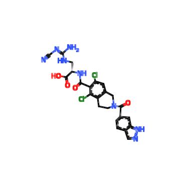 N#C/N=C(/N)NC[C@H](NC(=O)c1c(Cl)cc2c(c1Cl)CCN(C(=O)c1ccc3cn[nH]c3c1)C2)C(=O)O